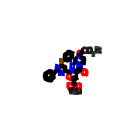 CCOC(=O)ON1CCN(C(=O)[C@H](CCC(=O)OC(C)(C)C)NC(=O)c2cc(Sc3ccccc3)nc(-c3ccccc3)n2)CC1